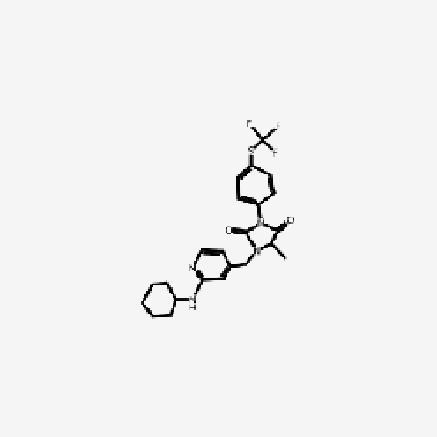 CC1C(=O)N(c2ccc(SC(F)(F)F)cc2)C(=O)N1Cc1ccnc(NC2CCCCC2)c1